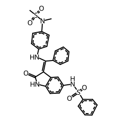 CN(c1ccc(N/C(=C2\C(=O)Nc3ccc(NS(=O)(=O)c4ccccc4)cc32)c2ccccc2)cc1)S(C)(=O)=O